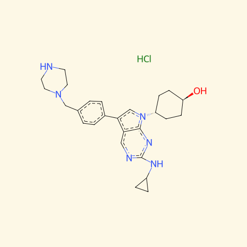 Cl.O[C@H]1CC[C@H](n2cc(-c3ccc(CN4CCNCC4)cc3)c3cnc(NC4CC4)nc32)CC1